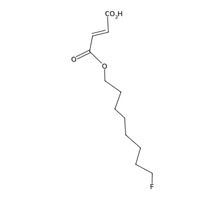 O=C(O)C=CC(=O)OCCCCCCCCF